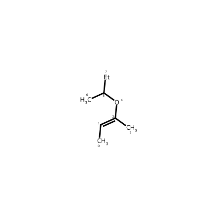 CC=C(C)OC(C)CC